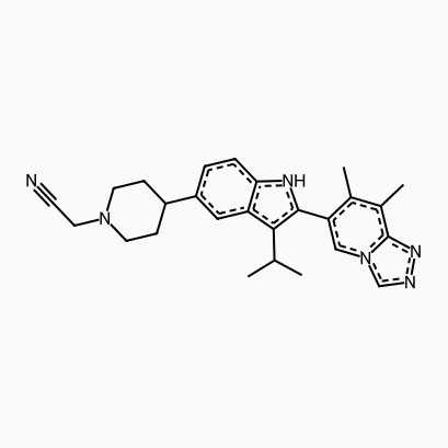 Cc1c(-c2[nH]c3ccc(C4CCN(CC#N)CC4)cc3c2C(C)C)cn2cnnc2c1C